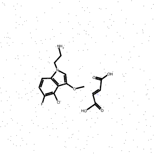 COc1cn(CCN)c2ccc(F)c(Cl)c12.O=C(O)/C=C/C(=O)O